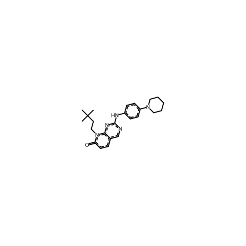 CC(C)(C)CCn1c(=O)ccc2cnc(Nc3ccc(N4CCCCC4)cc3)nc21